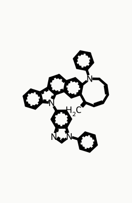 C=C1/C=C\C=C/CN(c2ccccc2)c2cc3ccc4c5ccccc5n(-c5ccc6c(c5)ncn6-c5ccccc5)c4c3cc21